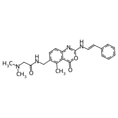 Cc1c(CNC(=O)CN(C)C)ccc2nc(NC=Cc3ccccc3)oc(=O)c12